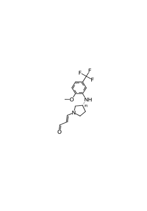 COc1ccc(C(F)(F)F)cc1N[C@@H]1CCN(C=CC=O)C1